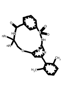 CCCC1(CCC)COc2cc(-c3c(C)cccc3C)nc(n2)NS(=O)(=O)c2cccc(c2)C(=O)N1